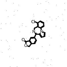 O=C1OCc2ccc(C3=NCc4c(Cl)cccc4-n4cccc43)cc21